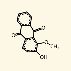 COc1c(O)ccc2c1C(=O)c1ccccc1C2=O